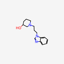 OC1CCCN(CCCn2cnc3ccccc32)C1